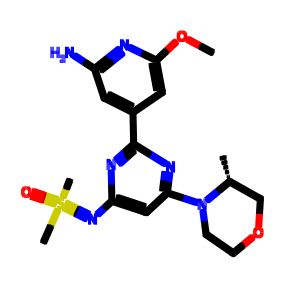 COc1cc(-c2nc(N=S(C)(C)=O)cc(N3CCOC[C@H]3C)n2)cc(N)n1